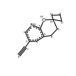 C#Cc1cnc2c(c1)CCC1(CCC1)O2